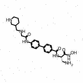 NC[C@H](NC(=O)c1ccc(-c2ccc(NC(=O)CNCC3CCCNC3)cc2)cc1)C(=O)NO